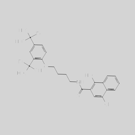 CCC(C)(C)c1ccc(OCCCCNC(=O)c2cc(Cl)c3ccccc3c2O)c(C(C)(C)CC)c1